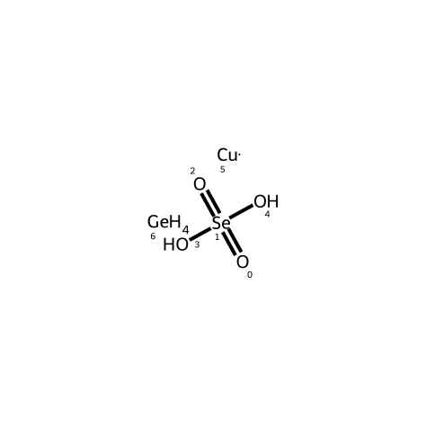 O=[Se](=O)(O)O.[Cu].[GeH4]